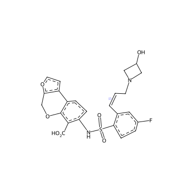 O=C(O)c1c(NS(=O)(=O)c2ccc(F)cc2/C=C\CN2CC(O)C2)ccc2c1OCc1occc1-2